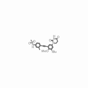 COc1c(C#Cc2ccc(NS(C)(=O)=O)cc2C)cc(N2CCC(=O)NC2=O)cc1C(C)(C)C